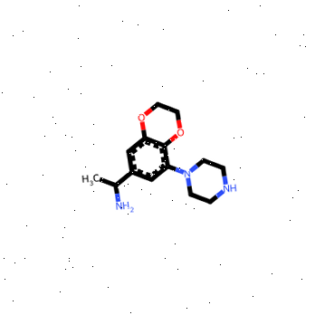 CC(N)c1cc2c(c(N3CCNCC3)c1)OCCO2